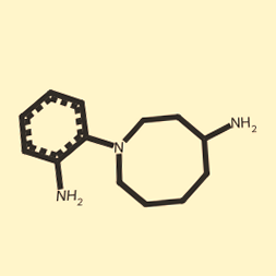 Nc1ccccc1N1CCCCC(N)CC1